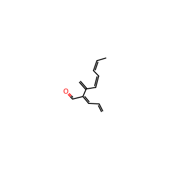 C=C/C=C(/C=O)C(=C)/C=C\C=C/C